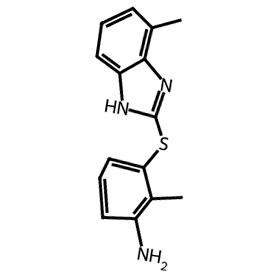 Cc1c(N)cccc1Sc1nc2c(C)cccc2[nH]1